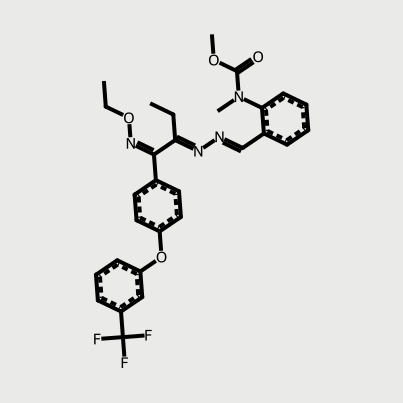 CCO\N=C(/C(CC)=N/N=C/c1ccccc1N(C)C(=O)OC)c1ccc(Oc2cccc(C(F)(F)F)c2)cc1